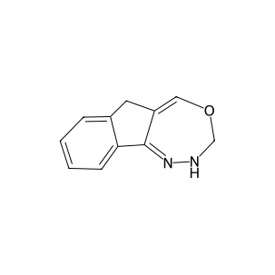 C1=C2Cc3ccccc3C2=NNCO1